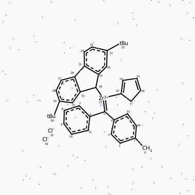 Cc1ccc(/[C](c2ccccc2)=[Zr+2](\[C]2=CC=CC2)[CH]2c3cc(C(C)(C)C)ccc3-c3ccc(C(C)(C)C)cc32)cc1.[Cl-].[Cl-]